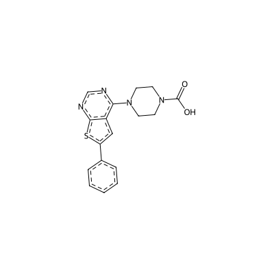 O=C(O)N1CCN(c2ncnc3sc(-c4ccccc4)cc23)CC1